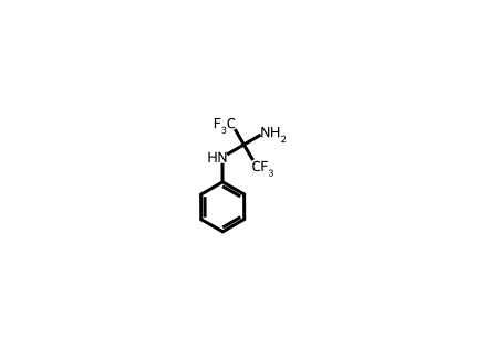 NC(Nc1ccccc1)(C(F)(F)F)C(F)(F)F